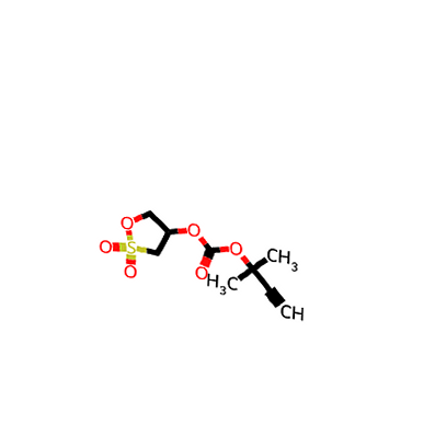 C#CC(C)(C)OC(=O)OC1COS(=O)(=O)C1